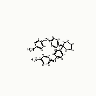 Nc1ccc(Oc2ccc(C3(c4ccc(Oc5ccc(N)cc5)cc4)CCCCC3)cc2)cc1